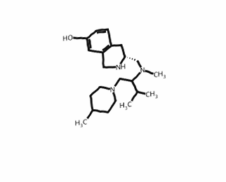 CC1CCN(CC(C(C)C)N(C)C[C@H]2Cc3ccc(O)cc3CN2)CC1